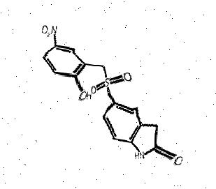 O=C1Cc2cc(S(=O)(=O)Cc3cc([N+](=O)[O-])ccc3O)ccc2N1